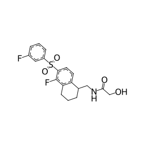 O=C(CO)NCC1CCCc2c1ccc(S(=O)(=O)c1cccc(F)c1)c2F